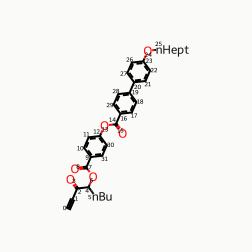 C#CC(=O)C(CCCC)OC(=O)c1ccc(OC(=O)c2ccc(-c3ccc(OCCCCCCC)cc3)cc2)cc1